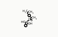 CC(C)Cc1ccc(C(C)C(=O)OCCN2C(O)c3ccccc3C2O)cc1